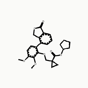 COc1ccc(-c2cccc3c2COC3=O)c(OCC2(C(=O)OC3CCCC3)CC2)c1OC